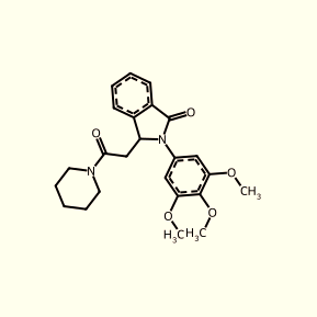 COc1cc(N2C(=O)c3ccccc3C2CC(=O)N2CCCCC2)cc(OC)c1OC